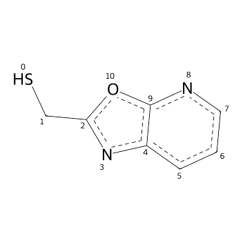 SCc1nc2cccnc2o1